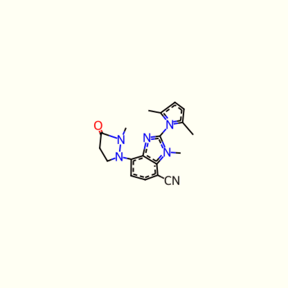 Cc1ccc(C)n1-c1nc2c(N3CCC(=O)N3C)ccc(C#N)c2n1C